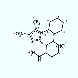 Cl.NNC1CCCCC1.O=C(O)c1cnn(C2CCCCC2)c1C(F)(F)F